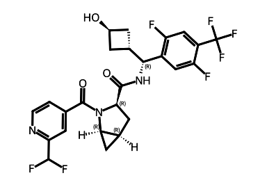 O=C(N[C@@H](c1cc(F)c(C(F)(F)F)cc1F)[C@H]1C[C@H](O)C1)[C@H]1C[C@H]2C[C@H]2N1C(=O)c1ccnc(C(F)F)c1